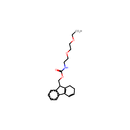 O=C(O)COCCOCCNC(=O)OCC1C2=C(C=CCC2)c2ccccc21